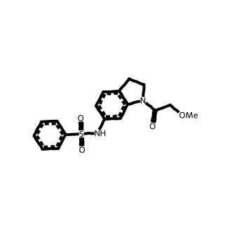 COCC(=O)N1CCc2ccc(NS(=O)(=O)c3ccccc3)cc21